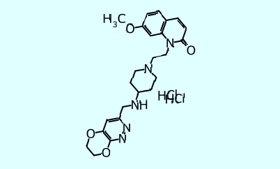 COc1ccc2ccc(=O)n(CCN3CCC(NCc4cc5c(nn4)OCCO5)CC3)c2c1.Cl.Cl